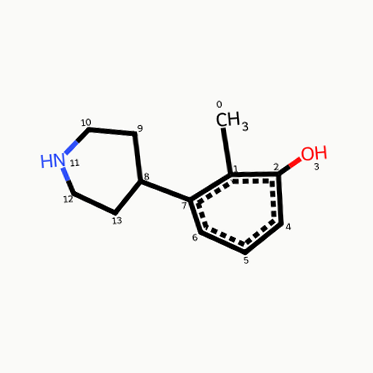 Cc1c(O)cccc1C1CCNCC1